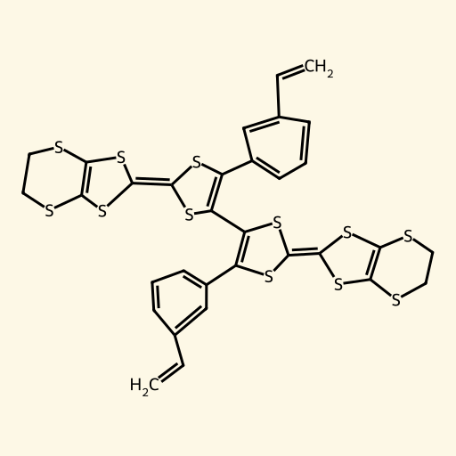 C=Cc1cccc(C2=C(C3=C(c4cccc(C=C)c4)SC(=C4SC5=C(SCCS5)S4)S3)SC(=C3SC4=C(SCCS4)S3)S2)c1